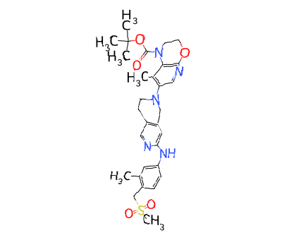 Cc1cc(Nc2cc3c(cn2)CCN(c2cnc4c(c2C)N(C(=O)OC(C)(C)C)CCO4)C3)ccc1CS(C)(=O)=O